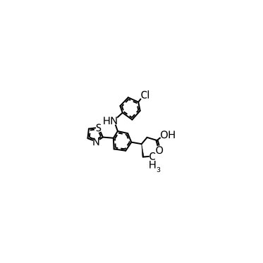 CC[C@H](CC(=O)O)c1ccc(-c2nccs2)c(Nc2ccc(Cl)cc2)c1